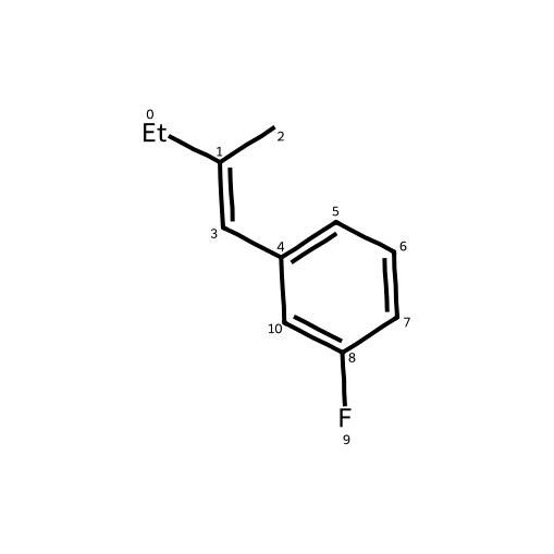 CC/C(C)=C/c1cccc(F)c1